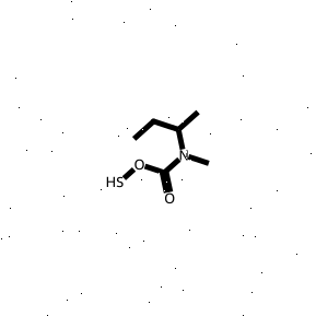 CCC(C)N(C)C(=O)OS